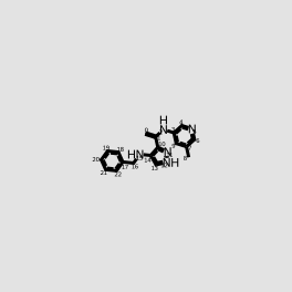 C=C(Nc1cncc(C)c1)c1n[nH]cc1NCc1ccccc1